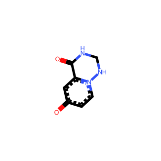 O=C1NCNn2ccc(=O)cc21